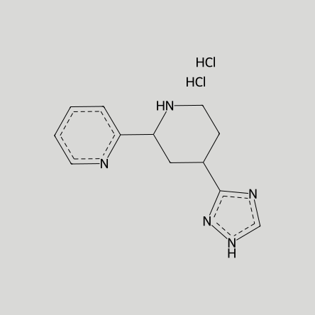 Cl.Cl.c1ccc(C2CC(c3nc[nH]n3)CCN2)nc1